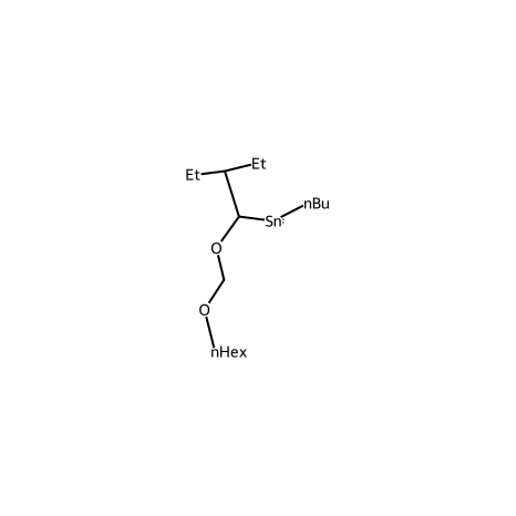 CCCCCCOCO[CH]([Sn][CH2]CCC)C(CC)CC